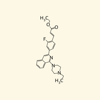 CCOC(=O)/C=C/c1ccc(-c2cc3ccccc3c(N3CCN(CC)CC3)n2)cc1F